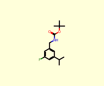 CC(C)c1cc(F)cc(CNC(=O)OC(C)(C)C)c1